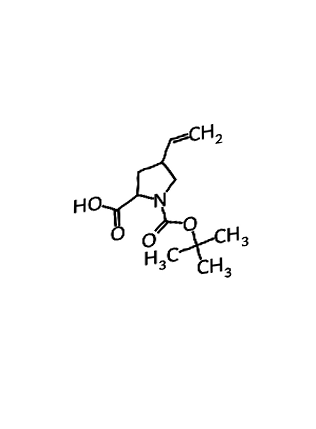 C=CC1CC(C(=O)O)N(C(=O)OC(C)(C)C)C1